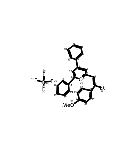 CCC(=Cc1cc(-c2ccccc2)cc(-c2ccccc2)[o+]1)c1ccc(OC)cc1.F[B-](F)(F)F